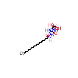 CCC=CCC=CCC=CCC=CCC=CCCCC(=O)NC1=NC(=O)C2N[C@@H]([C@@H](O)[C@H](C)O)CNC2=N1